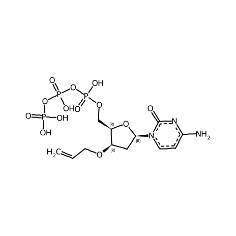 C=CCO[C@@H]1C[C@H](n2ccc(N)nc2=O)O[C@@H]1COP(=O)(O)OP(=O)(O)OP(=O)(O)O